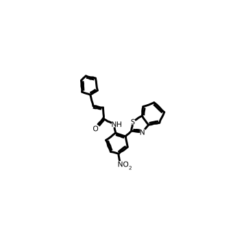 O=C(C=Cc1ccccc1)Nc1ccc([N+](=O)[O-])cc1-c1nc2ccccc2s1